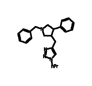 CCCn1cc(CC2CN(Cc3ccccc3)CC2c2ccccc2)nn1